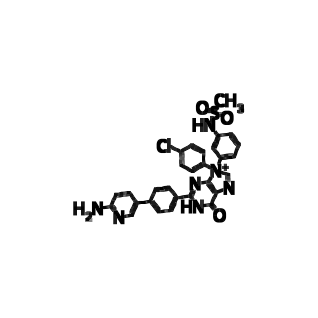 CS(=O)(=O)Nc1cccc([N+]2(c3ccc(Cl)cc3)C=Nc3c2nc(-c2ccc(-c4ccc(N)nc4)cc2)[nH]c3=O)c1